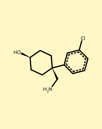 NC[C@]1(c2cccc(Cl)c2)CC[C@H](O)CC1